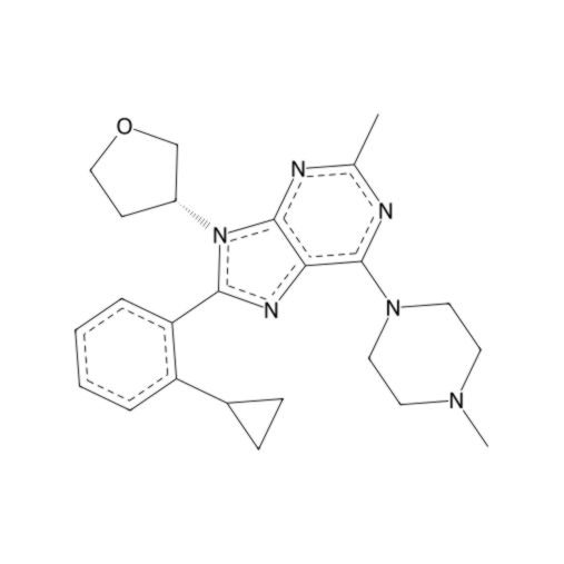 Cc1nc(N2CCN(C)CC2)c2nc(-c3ccccc3C3CC3)n([C@@H]3CCOC3)c2n1